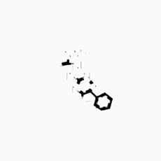 CNC(=S)NNc1nnc(-c2ccccc2)c(C)n1